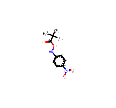 CC(C)(C)C(=O)ONc1ccc([N+](=O)[O-])cc1